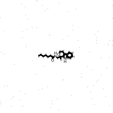 CCCCCCC(=O)NCC1(C)OCCc2c1[nH]c1ccccc21